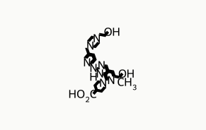 CC(O)c1cc2cnc(Nc3ccc(CN4CCN(CCO)CC4)cn3)nc2c(N2CCC(C(=O)O)CC2)n1